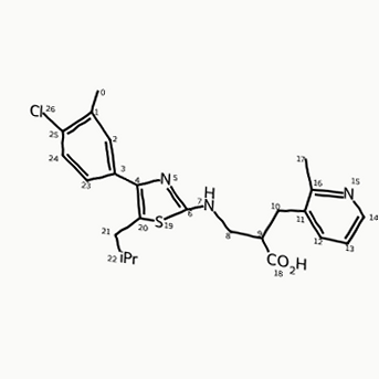 Cc1cc(-c2nc(NCC(Cc3cccnc3C)C(=O)O)sc2CC(C)C)ccc1Cl